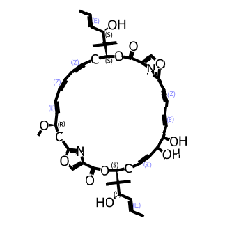 C/C=C/[C@H](O)C(C)(C)[C@@H]1C\C=C/C=C\C=C\[C@H](OC)Cc2nc(co2)C(=O)O[C@H](C(C)(C)[C@@H](O)/C=C/C)C/C=C\C(O)C(O)/C=C/C=C\c2nc(co2)C(=O)O1